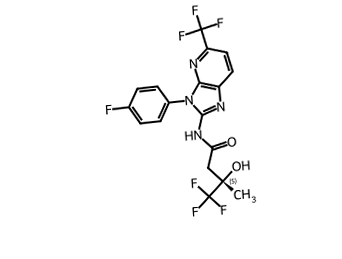 C[C@](O)(CC(=O)Nc1nc2ccc(C(F)(F)F)nc2n1-c1ccc(F)cc1)C(F)(F)F